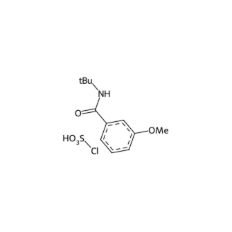 COc1cccc(C(=O)NC(C)(C)C)c1.O=S(=O)(O)Cl